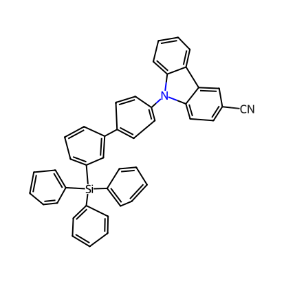 N#Cc1ccc2c(c1)c1ccccc1n2-c1ccc(-c2cccc([Si](c3ccccc3)(c3ccccc3)c3ccccc3)c2)cc1